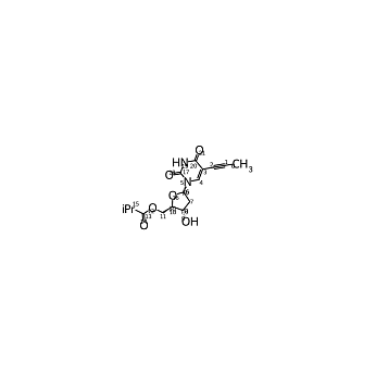 CC#Cc1cn([C@H]2C[C@H](O)[C@@H](COC(=O)C(C)C)O2)c(=O)[nH]c1=O